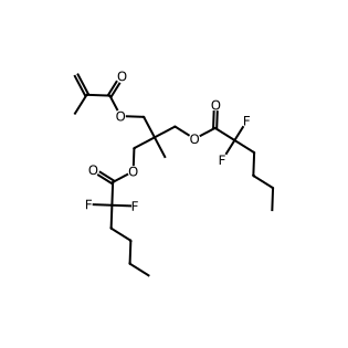 C=C(C)C(=O)OCC(C)(COC(=O)C(F)(F)CCCC)COC(=O)C(F)(F)CCCC